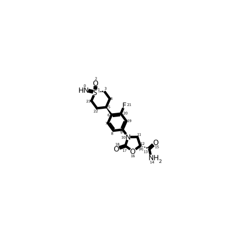 N=[S@]1(=O)CC[C@@H](c2ccc(N3C[C@H](C(N)=O)OC3=O)cc2F)CC1